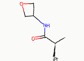 CC(C)[C@H](C)C(=O)NC1COC1